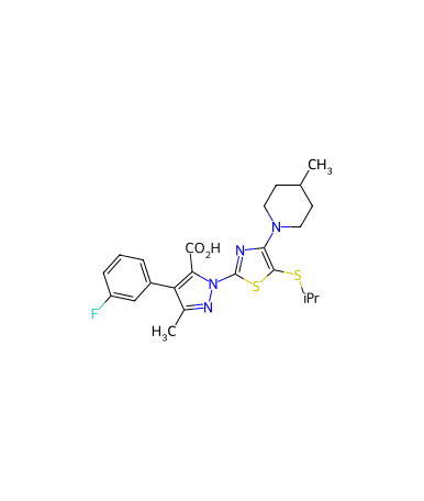 Cc1nn(-c2nc(N3CCC(C)CC3)c(SC(C)C)s2)c(C(=O)O)c1-c1cccc(F)c1